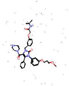 COCCCOc1cccc(-n2c(-c3ccccc3)c(C(=O)N3CCNCC3)n(Cc3cccc(OCC(=O)NC(C)C)c3)c2=O)c1